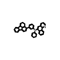 C1=CC(N(c2cccc(-c3ccc4c5c3CCC=C5c3ccccc3-4)c2)c2cc3cccnc3c3ccccc23)=CCC1